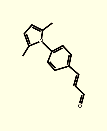 Cc1ccc(C)n1-c1ccc(/C=C/C=O)cc1